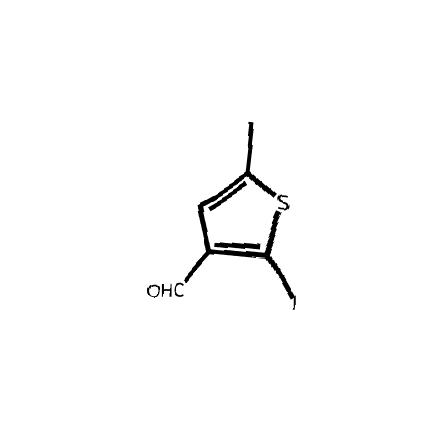 Cc1cc(C=O)c(I)s1